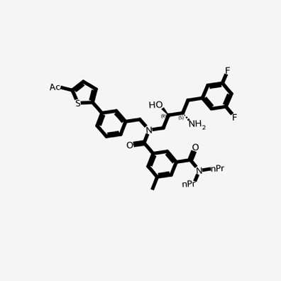 CCCN(CCC)C(=O)c1cc(C)cc(C(=O)N(Cc2cccc(-c3ccc(C(C)=O)s3)c2)C[C@@H](O)[C@@H](N)Cc2cc(F)cc(F)c2)c1